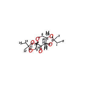 CCC1(C)O[C@@H]2CO[C@]3(COC(C)(CC)O3)C(=O)[C@@H]2O1